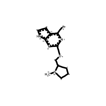 CC(C)c1nc(OCC2CCCN2C)nc2[nH]ccc12